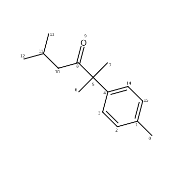 Cc1ccc(C(C)(C)C(=O)CC(C)C)cc1